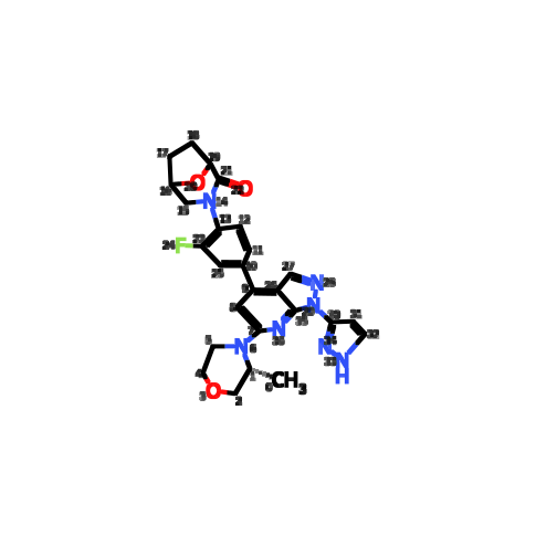 C[C@@H]1COCCN1c1cc(-c2ccc(N3CC4CCC(O4)C3=O)c(F)c2)c2cnn(-c3cc[nH]n3)c2n1